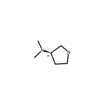 CN(C)[C@@H]1CC[N]C1